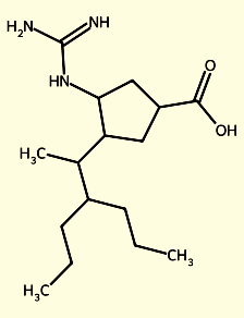 CCCC(CCC)C(C)C1CC(C(=O)O)CC1NC(=N)N